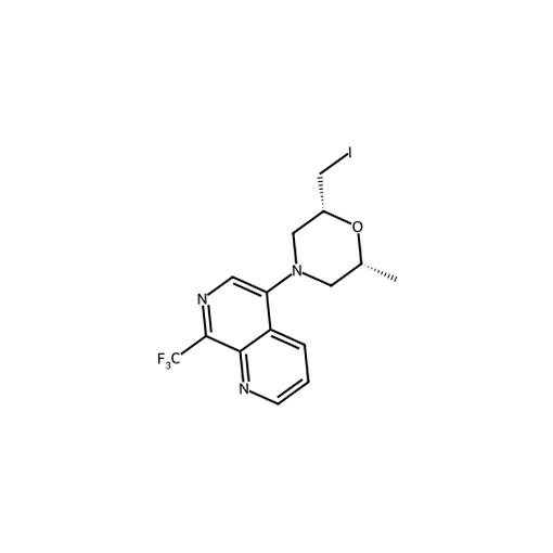 C[C@@H]1CN(c2cnc(C(F)(F)F)c3ncccc23)C[C@H](CI)O1